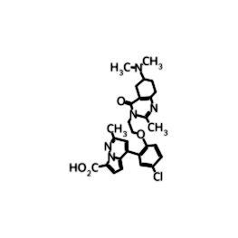 Cc1cc(-c2cc(Cl)ccc2OCCn2c(C)nc3c(c2=O)CC(N(C)C)CC3)c2ccc(C(=O)O)n2n1